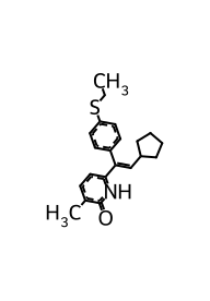 CCSc1ccc(/C(=C\C2CCCC2)c2ccc(C)c(=O)[nH]2)cc1